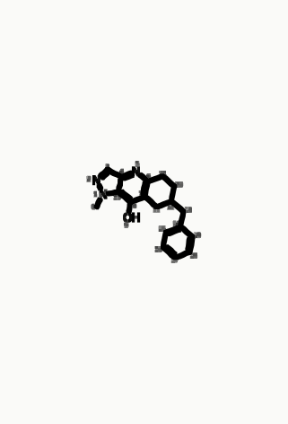 Cn1ncc2nc3c(c(O)c21)CC(Cc1ccccc1)CC3